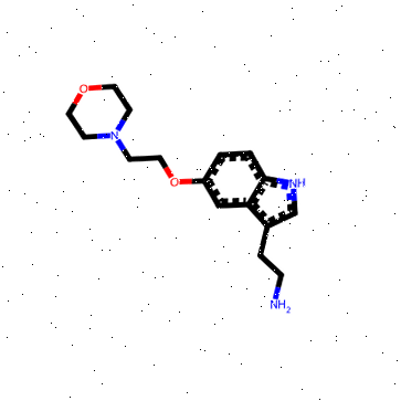 NCCc1c[nH]c2ccc(OCCN3CCOCC3)cc12